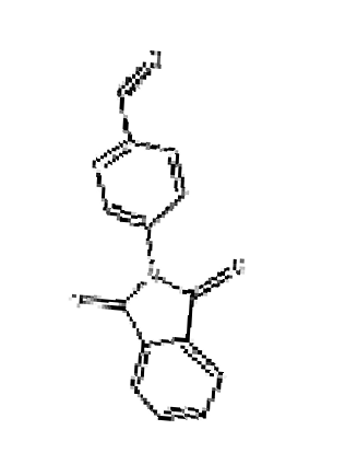 O=Cc1ccc(N2C(=O)c3ccccc3C2=O)cc1